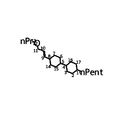 CCCCCC1CCC(C2CCC(C=CCOCCC)CC2)CC1